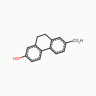 O=C(O)c1ccc2c(c1)CCc1cc(O)ccc1-2